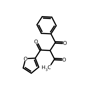 CC(=O)C(C(=O)c1ccccc1)C(=O)c1ccco1